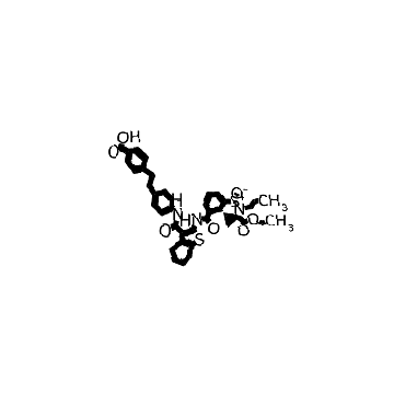 CCCN([S+]([O-])c1cccc(C(=O)Nc2sc3c(c2C(=O)Nc2ccc(CCc4ccc(C(=O)O)cc4)cc2)CCCC3)c1)C1(C(=O)OCC)CC1